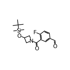 CC(C)(C)[Si](C)(C)OC1CN(C(=O)c2cc(C=O)ccc2F)C1